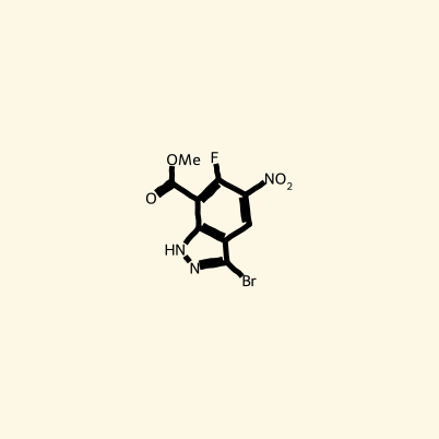 COC(=O)c1c(F)c([N+](=O)[O-])cc2c(Br)n[nH]c12